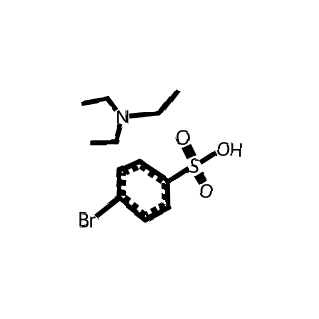 CCN(CC)CC.O=S(=O)(O)c1ccc(Br)cc1